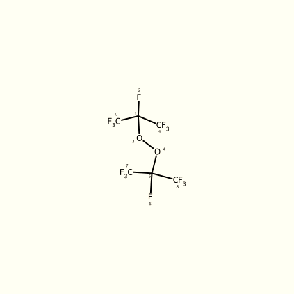 FC(F)(F)C(F)(OOC(F)(C(F)(F)F)C(F)(F)F)C(F)(F)F